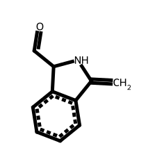 C=C1NC(C=O)c2ccccc21